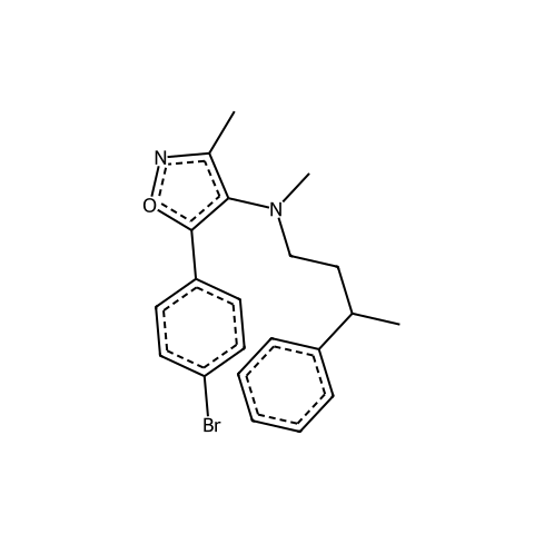 Cc1noc(-c2ccc(Br)cc2)c1N(C)CCC(C)c1ccccc1